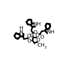 C[C@H]1[CH][C@@H](OC(=O)Cc2c[nH]c3ccccc23)[C@@H](OC(=O)Cc2c[nH]c3ccccc23)C(OC(=O)Cc2c[nH]c3ccccc23)O1